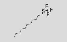 CCCCCCCCCCCSC(F)(F)F